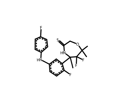 CC1(C)OCC(=S)NC(C)(c2cc(Nc3ccc(F)cc3)ccc2F)C1(F)F